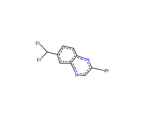 CCC(CC)c1ccc2nc(C(C)C)cnc2c1